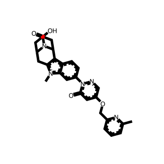 Cc1cccc(COc2cnn(-c3ccc4c5c(n(C)c4c3)CC3CCCC5N3C(=O)O)c(=O)c2)n1